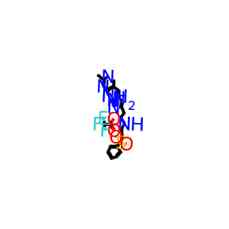 Cc1ncc(Cn2cc(CC(NCCS(=O)(=O)c3ccccc3)OC(=O)C(F)(F)F)nn2)c(N)n1